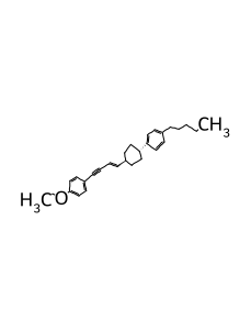 CCCCCc1ccc([C@H]2CC[C@H](C=CC#Cc3ccc(OCC)cc3)CC2)cc1